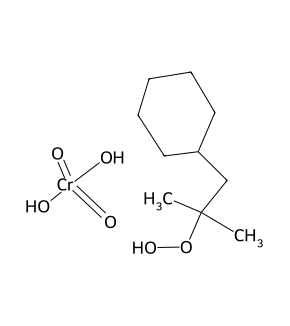 CC(C)(CC1CCCCC1)OO.[O]=[Cr](=[O])([OH])[OH]